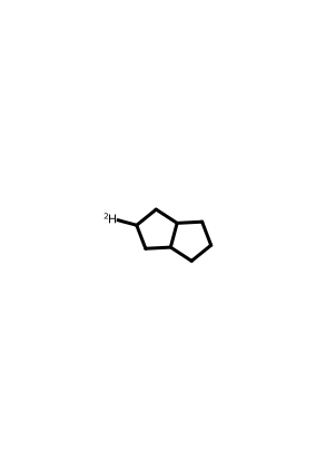 [2H]C1CC2CCCC2C1